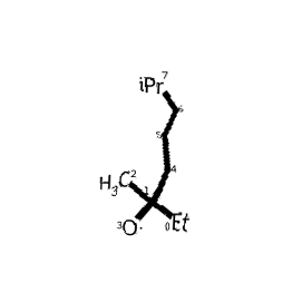 CCC(C)([O])CCCC(C)C